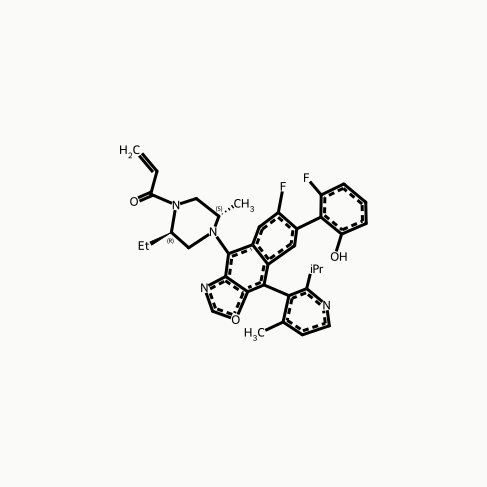 C=CC(=O)N1C[C@H](C)N(c2c3cc(F)c(-c4c(O)cccc4F)cc3c(-c3c(C)ccnc3C(C)C)c3ocnc23)C[C@H]1CC